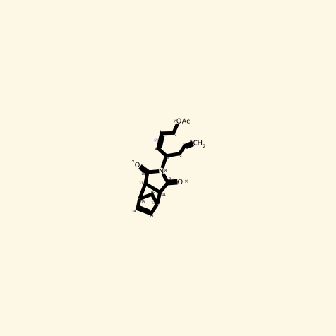 C=CCC(/C=C\COC(C)=O)N1C(=O)C2C3C=CC(C3)C2C1=O